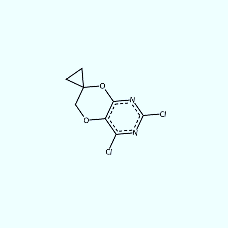 Clc1nc(Cl)c2c(n1)OC1(CC1)CO2